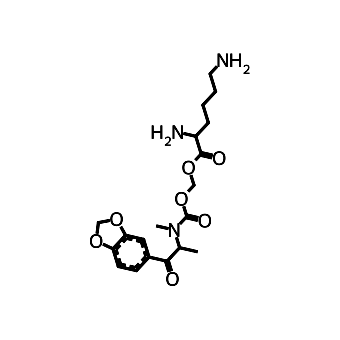 CC(C(=O)c1ccc2c(c1)OCO2)N(C)C(=O)OCOC(=O)C(N)CCCCN